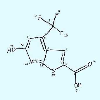 O=C(O)c1cc2c(C(F)(F)F)cc(O)nc2s1